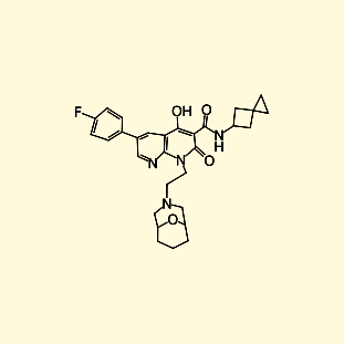 O=C(NC1CC2(CC2)C1)c1c(O)c2cc(-c3ccc(F)cc3)cnc2n(CCN2CC3CCCC(C2)O3)c1=O